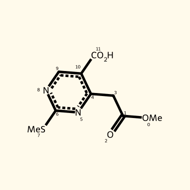 COC(=O)Cc1nc(SC)ncc1C(=O)O